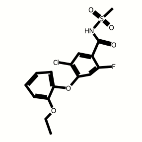 CCOc1ccccc1Oc1cc(F)c(C(=O)NS(C)(=O)=O)cc1Cl